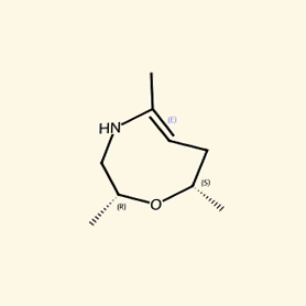 C/C1=C\C[C@H](C)O[C@H](C)CN1